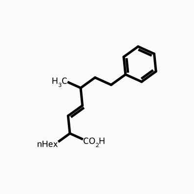 CCCCCCC(C=CC(C)CCc1ccccc1)C(=O)O